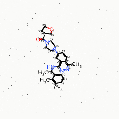 Cc1c([C@@H](C)Nc2nnc(C)c3ccc(N4CCN(C(=O)[C@H]5CCOC5)CC4)cc23)cccc1C(F)(F)F